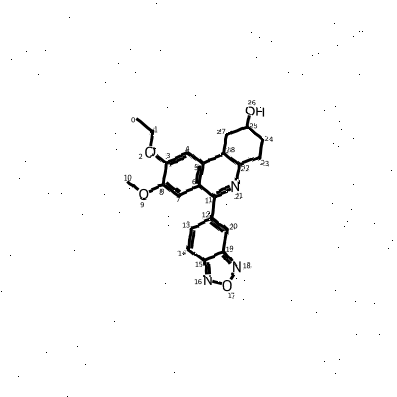 CCOc1cc2c(cc1OC)C(c1ccc3nonc3c1)=NC1CCC(O)CC21